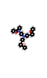 c1ccc2c(c1)oc1c(-c3ccc(N(c4ccc(-c5cccc6c5oc5ccccc56)cc4)c4ccc(-n5c6ccccc6c6c7ccccc7oc65)cc4)cc3)cccc12